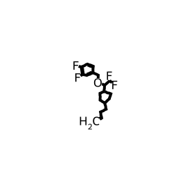 C=CCCC1CCC(C(OCc2ccc(F)c(F)c2)C(F)F)CC1